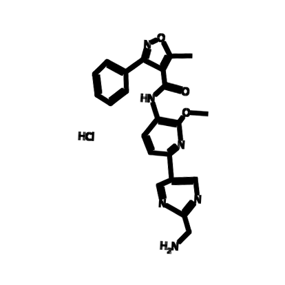 COc1nc(-c2cnc(CN)nc2)ccc1NC(=O)c1c(-c2ccccc2)noc1C.Cl